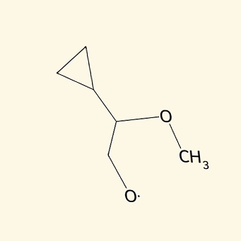 COC(C[O])C1CC1